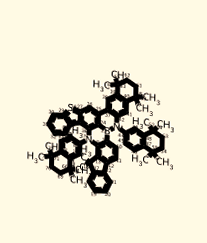 Cc1cc2c(cc1N1c3c(ccc4c3C(C)(C)c3ccccc3-4)B3c4c(cc5sc6ccccc6c5c41)-c1cc4c(cc1N3c1ccc3c(c1)C(C)(C)CCC3(C)C)C(C)(C)CCC4(C)C)C(C)(C)CCC2(C)C